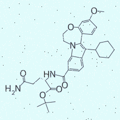 COc1ccc2c(c1)OCCn1c-2c(C2CCCCC2)c2ccc(C(=O)N[C@@H](CCC(N)=O)C(=O)OC(C)(C)C)cc21